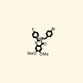 COc1cc2nc(-c3ccc(F)cc3)n(NCc3ccc(Br)cc3)c(=O)c2cc1OC